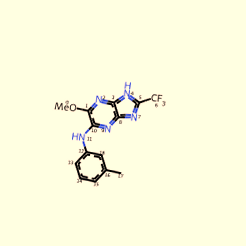 COc1nc2[nH]c(C(F)(F)F)nc2nc1Nc1cccc(C)c1